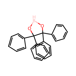 B1OC(c2ccccc2)(c2ccccc2)C(c2ccccc2)(c2ccccc2)O1